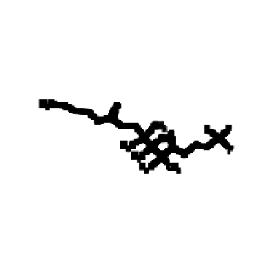 CCCCOC(=O)CCC(C)(C)C(C)(C)C(C)(N)C(=O)OCCC(F)(F)F